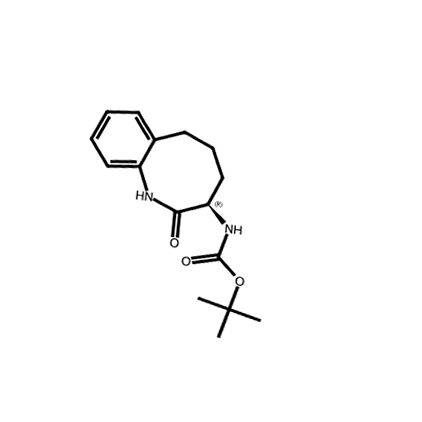 CC(C)(C)OC(=O)N[C@@H]1CCCc2ccccc2NC1=O